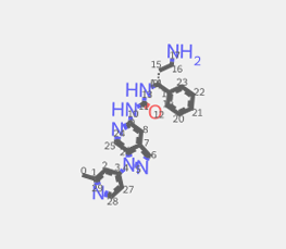 Cc1cc(-n2ncc3cc(NC(=O)N[C@H](CCN)c4ccccc4)ncc32)ccn1